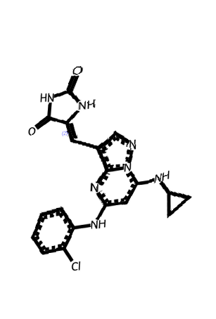 O=C1NC(=O)/C(=C/c2cnn3c(NC4CC4)cc(Nc4ccccc4Cl)nc23)N1